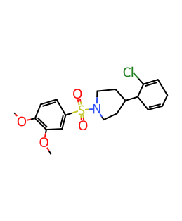 COc1ccc(S(=O)(=O)N2CCC(C3C=CCC=C3Cl)CC2)cc1OC